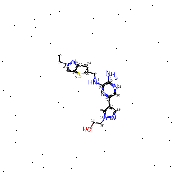 CCn1cc2sc(CNc3nc(-c4cnn(CCO)c4)cnc3N)cc2n1